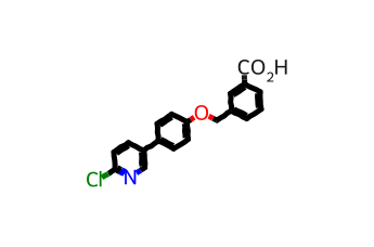 O=C(O)c1cccc(COc2ccc(-c3ccc(Cl)nc3)cc2)c1